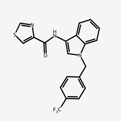 O=C(Nc1cn(Cc2ccc(C(F)(F)F)cc2)c2ccccc12)c1cscn1